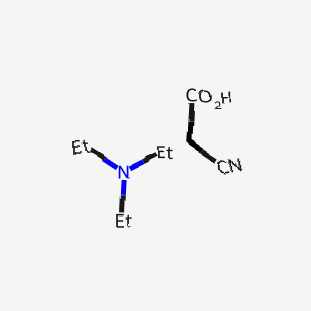 CCN(CC)CC.N#CCC(=O)O